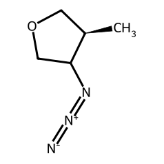 C[C@@H]1COCC1N=[N+]=[N-]